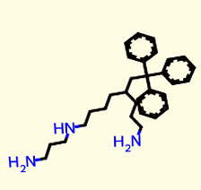 NCCCNCCCCC(CCCN)CC(c1ccccc1)(c1ccccc1)c1ccccc1